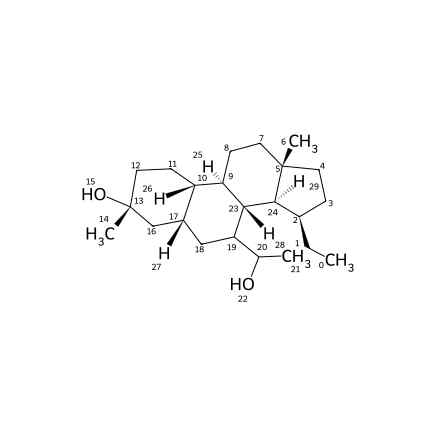 CC[C@@H]1CC[C@@]2(C)CC[C@@H]3[C@H]4CC[C@@](C)(O)C[C@H]4CC(C(C)O)[C@H]3[C@H]12